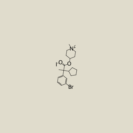 CC(C(=O)OC1CC[N+](C)(C)CC1)(c1cccc(Br)c1)C1CCCC1.[I-]